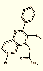 CSc1c(-c2ccccc2)nc2ccc(Br)cc2c1OC(=O)O